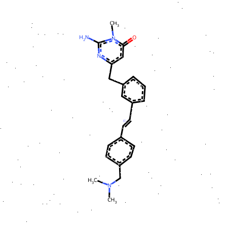 CN(C)Cc1ccc(/C=C/c2cccc(Cc3cc(=O)n(C)c(N)n3)c2)cc1